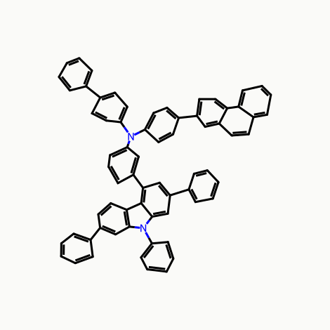 c1ccc(-c2ccc(N(c3ccc(-c4ccc5c(ccc6ccccc65)c4)cc3)c3cccc(-c4cc(-c5ccccc5)cc5c4c4ccc(-c6ccccc6)cc4n5-c4ccccc4)c3)cc2)cc1